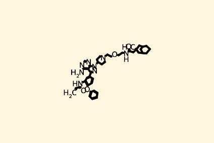 C=CC(=O)Nc1cc(-c2nn(C3CCN(CCOCCNC(=O)CC4(C)CC5CCCC(C5)C4)CC3)c3ncnc(N)c23)ccc1Oc1ccccc1